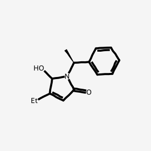 CCC1=CC(=O)N([C@@H](C)c2ccccc2)C1O